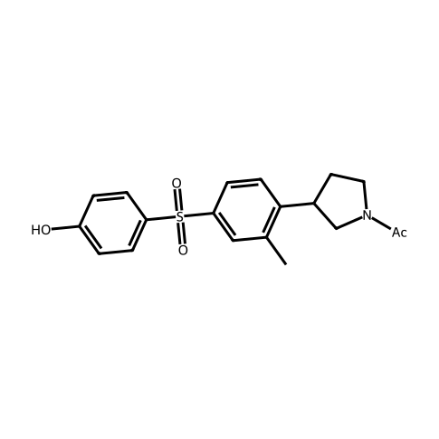 CC(=O)N1CCC(c2ccc(S(=O)(=O)c3ccc(O)cc3)cc2C)C1